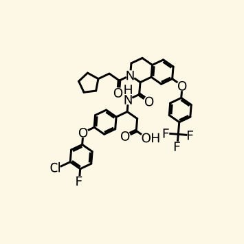 O=C(O)CC(NC(=O)C1c2cc(Oc3ccc(C(F)(F)F)cc3)ccc2CCN1C(=O)CC1CCCC1)c1ccc(Oc2ccc(F)c(Cl)c2)cc1